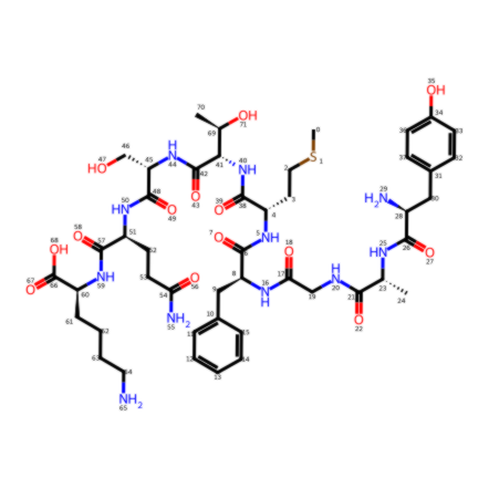 CSCC[C@H](NC(=O)[C@H](Cc1ccccc1)NC(=O)CNC(=O)[C@@H](C)NC(=O)[C@@H](N)Cc1ccc(O)cc1)C(=O)N[C@H](C(=O)N[C@@H](CO)C(=O)N[C@@H](CCC(N)=O)C(=O)N[C@@H](CCCCN)C(=O)O)[C@@H](C)O